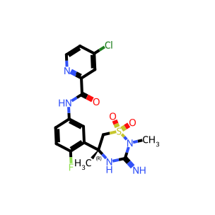 CN1C(=N)N[C@](C)(c2cc(NC(=O)c3cc(Cl)ccn3)ccc2F)CS1(=O)=O